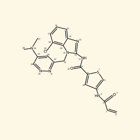 C=CC(=O)Nc1csc(C(=O)Nc2nc3cccc(Cl)c3n2Cc2cc(N(C)C)cnn2)c1